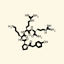 N=C(N)NCCC[C@H](NC(=O)[C@H](CCCCN)NC(=O)[C@@H]1CCCN1C(=O)Cc1ccc(O)cc1)C(=O)N[C@H](CCCNC(=N)N)C(N)=O